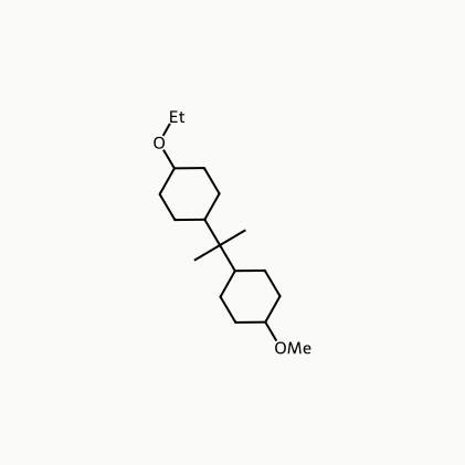 CCOC1CCC(C(C)(C)C2CCC(OC)CC2)CC1